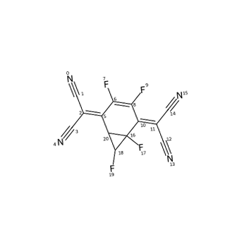 N#CC(C#N)=C1C(F)=C(F)C(=C(C#N)C#N)C2(F)C(F)C12